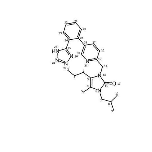 CCCc1c(C)n(CC(C)C)c(=O)n1Cc1ccc(-c2ccccc2-c2nnn[nH]2)cn1